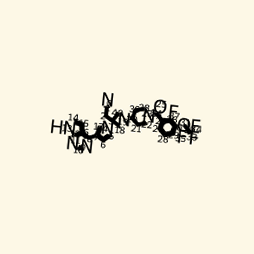 N#CCC1(n2ccc(-c3ncnc4[nH]ccc34)c2)CN(C2CCN(C(=O)c3cccc(OC(F)(F)F)c3F)CC2)C1